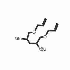 C=CCOCC(CC(COCC=C)C(C)(C)C)C(C)(C)C